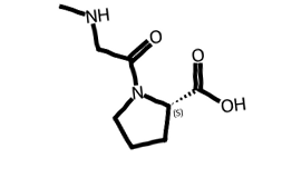 CNCC(=O)N1CCC[C@H]1C(=O)O